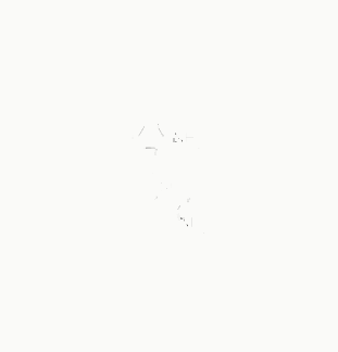 C[C@H](CSCCc1ccccc1N)C(N)=O